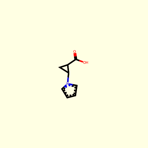 O=C(O)C1CC1n1cccc1